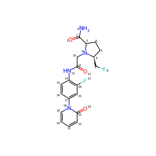 NC(=O)C1[CH]C[C@@H](CF)N1CC(=O)Nc1ccc(-n2ccccc2=O)cc1F